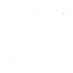 O=C1CCC(N2Cc3cc(C4CCN(C[C@H]5CC[C@H](CF)CC5)CC4)ccc3C2=O)C(=O)N1